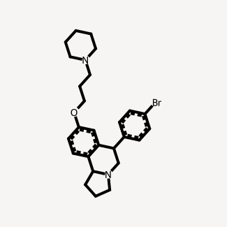 Brc1ccc(C2CN3CCCC3c3ccc(OCCCN4CCCCC4)cc32)cc1